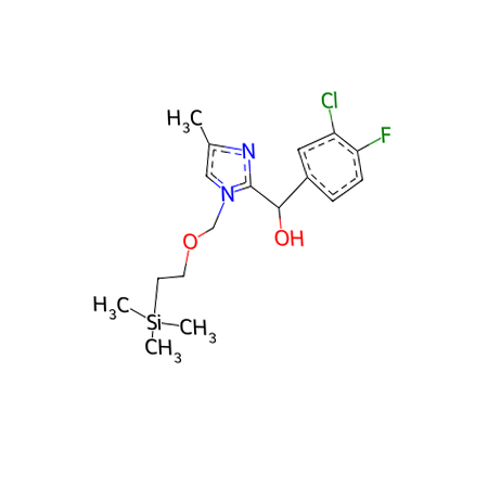 Cc1cn(COCC[Si](C)(C)C)c(C(O)c2ccc(F)c(Cl)c2)n1